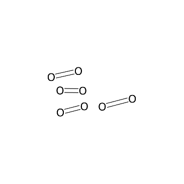 O=O.O=O.O=O.O=O